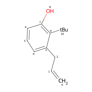 C=CCc1cccc(O)c1C(C)(C)C